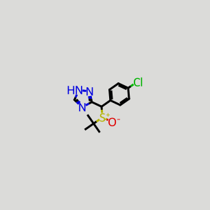 CC(C)(C)[S+]([O-])C(c1ccc(Cl)cc1)c1nc[nH]n1